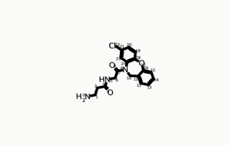 NCCC(=O)NCC(=O)N1Cc2ccccc2Oc2ccc(Cl)cc21